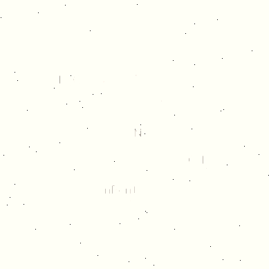 C=C(CCCCC)N1CCC(C)C1